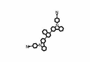 N#Cc1ccc(-n2c3ccccc3c3cc(-c4ccc(-c5ccc6c(c5)c5ccccc5n6-c5ccc(C#N)cc5)c5ccccc45)ccc32)cc1